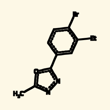 CCc1cc(-c2nnc(C)o2)ccc1Br